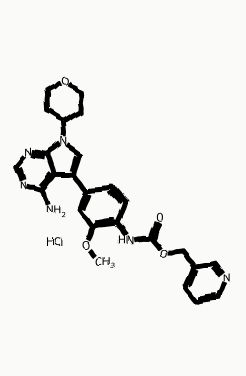 COc1cc(-c2cn(C3CCOCC3)c3ncnc(N)c23)ccc1NC(=O)OCc1cccnc1.Cl